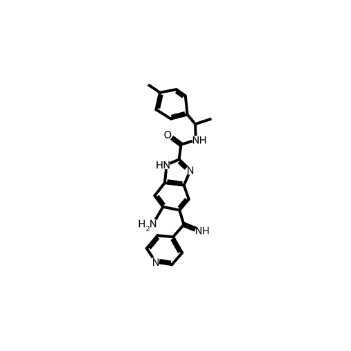 Cc1ccc(C(C)NC(=O)c2nc3cc(C(=N)c4ccncc4)c(N)cc3[nH]2)cc1